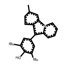 Cc1ccc2c(-c3cc(C(C)(C)C)c(O)c(C(C)(C)C)c3)c3ccccn3c2c1